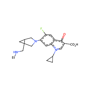 CCNCC12CC1CN(c1cc3c(cc1F)c(=O)c(C(=O)O)cn3C1CC1)C2